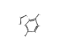 C[CH]C.Cc1ccc(C)cc1